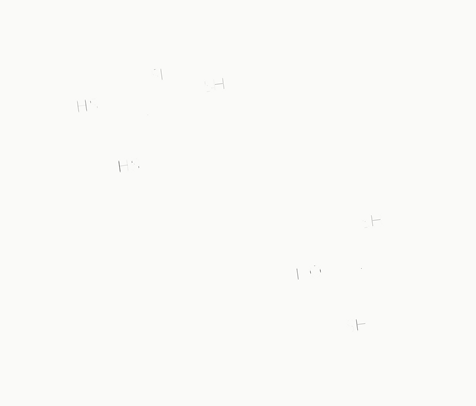 CC(O)(S)S.CCCCC(S)C(S)(S)S